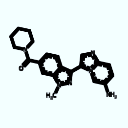 Cn1nc(-c2cnc3ccc(N)cn23)c2ccc(C(=O)N3CCCCC3)cc21